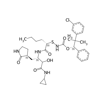 CCCC[C@H](SNC(=O)O[C@@H](c1ccccc1)C(C)(C)c1cccc(Cl)c1)C(=O)N[C@@H](C[C@@H]1CCNC1=O)C(O)C(=O)NC1CC1